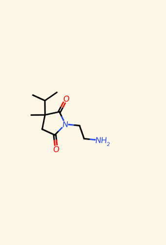 CC(C)C1(C)CC(=O)N(CCN)C1=O